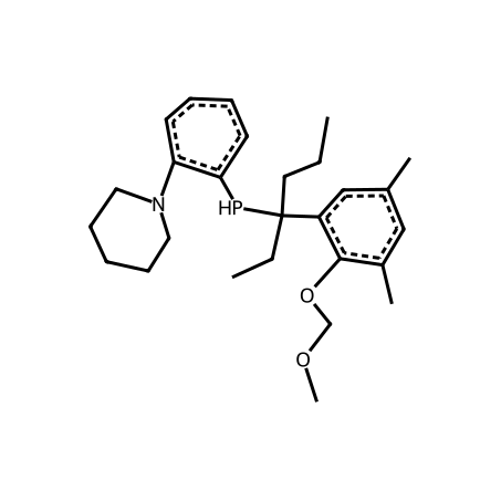 CCCC(CC)(Pc1ccccc1N1CCCCC1)c1cc(C)cc(C)c1OCOC